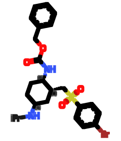 CC(C)N[C@H]1CC[C@H](NC(=O)OCc2ccccc2)[C@H](CS(=O)(=O)c2ccc(Br)cc2)C1